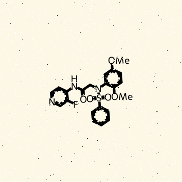 COc1ccc(OC)c(N(CC(=O)Nc2ccncc2F)S(=O)(=O)c2ccccc2)c1